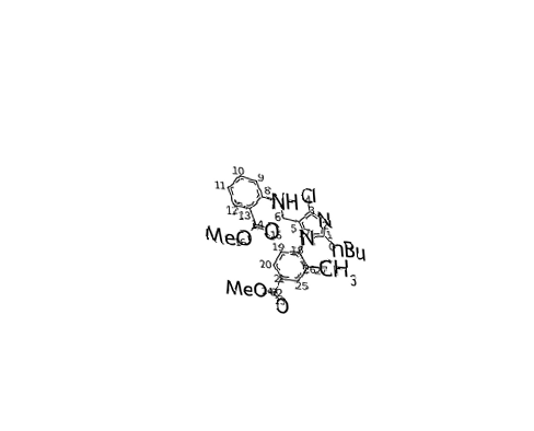 CCCCc1nc(Cl)c(CNc2ccccc2C(=O)OC)n1-c1ccc(C(=O)OC)cc1C